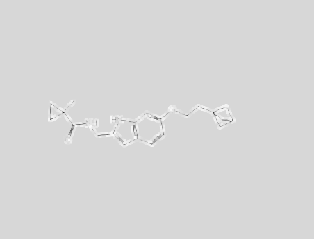 CC1(C(=O)NCc2cc3ccc(OCCC45CC(C4)C5)cc3[nH]2)CC1